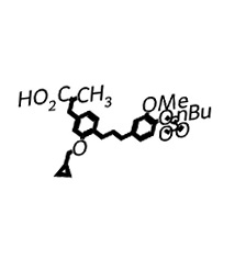 CCCCS(=O)(=O)Oc1ccc(CCCc2ccc(CC(C)C(=O)O)cc2OCC2CC2)cc1OC